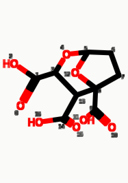 O=C(O)C1OC2CCC(C(=O)O)(O2)C1C(=O)O